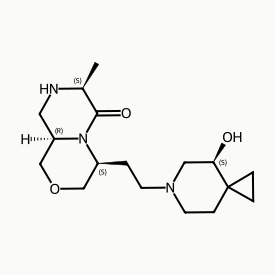 C[C@@H]1NC[C@@H]2COC[C@H](CCN3CCC4(CC4)[C@H](O)C3)N2C1=O